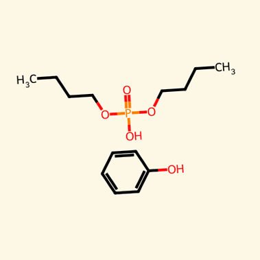 CCCCOP(=O)(O)OCCCC.Oc1ccccc1